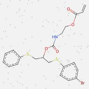 C=CC(=O)OCCNC(=O)OC(CSc1ccccc1)CSc1ccc(Br)cc1